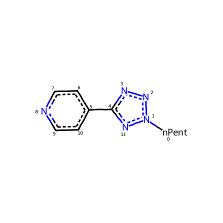 CCCCCn1nnc(-c2ccncc2)n1